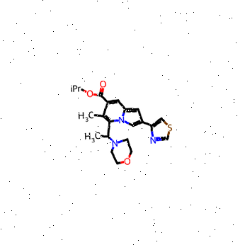 Cc1c(C(=O)OC(C)C)cc2cc(-c3cscn3)cn2c1C(C)N1CCOCC1